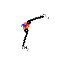 CCCCCCCCCCCc1ccc(S(=O)(=O)C(=[N+]=[N-])S(=O)(=O)c2ccc(CCCCCCCCCCC)cc2)cc1